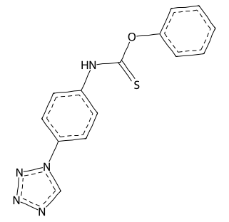 S=C(Nc1ccc(-n2cnnn2)cc1)Oc1ccccc1